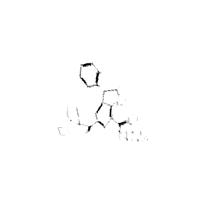 CCNC(=O)c1cc(C(=O)NC)c2c(c1)[C@@H](c1ccccc1)CO2